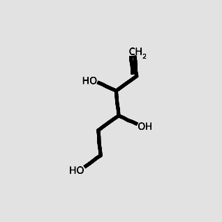 C=CC(O)C(O)CCO